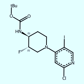 CC(C)(C)OC(=O)N[C@H]1CCN(c2cc(Cl)ncc2I)C[C@@H]1F